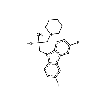 CC(O)(CN1CCCCS1)Cn1c2ccc(F)cc2c2cc(F)ccc21